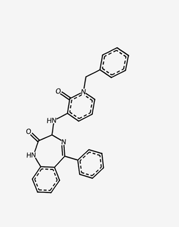 O=C1Nc2ccccc2C(c2ccccc2)=NC1Nc1cccn(Cc2ccccc2)c1=O